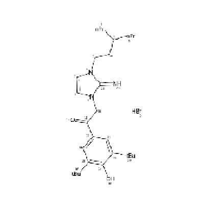 Br.CCCC(CCC)CCn1ccn(CC(=O)c2cc(C(C)(C)C)c(O)c(C(C)(C)C)c2)c1=N